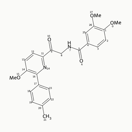 COc1ccc(C(=O)NCC(=O)c2ccc(OC)c(-c3ccc(C)cc3)n2)cc1OC